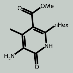 CCCCCCc1[nH]c(=O)c(N)c(C)c1C(=O)OC